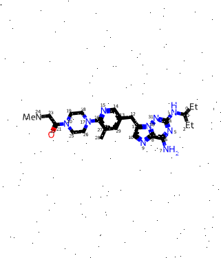 CCC(CC)Nc1nc(N)c2ncc(Cc3cnc(N4CCN(C(=O)CNC)CC4)c(C)c3)n2n1